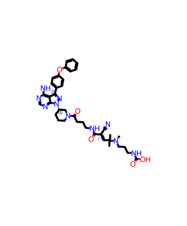 CN(CCCNC(=O)O)C(C)(C)/C=C(\C#N)C(=O)NCCCC(=O)N1CCC[C@H](n2nc(-c3ccc(Oc4ccccc4)cc3)c3c(N)ncnc32)C1